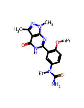 CCCOc1ccc(N(CC)C(N)=S)cc1-c1nc2c(c(C)nn2C)c(=O)[nH]1